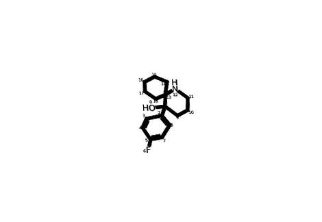 OC1(c2ccc(F)cc2)CCCNC12CCCCC2